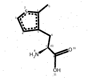 Cc1sccc1C[C@H](N)C(=O)O